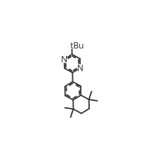 CC(C)(C)c1cnc(-c2ccc3c(c2)C(C)(C)CCC3(C)C)cn1